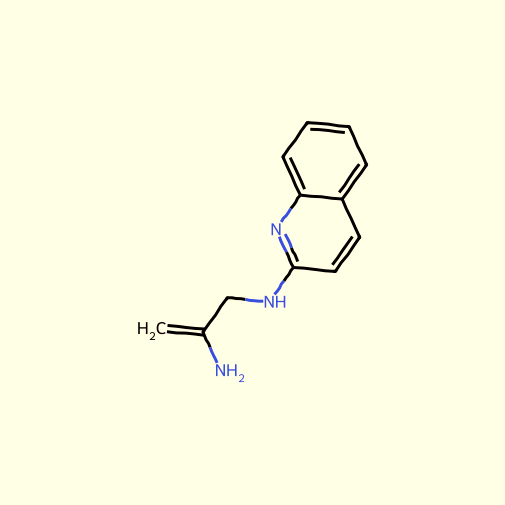 C=C(N)CNc1ccc2ccccc2n1